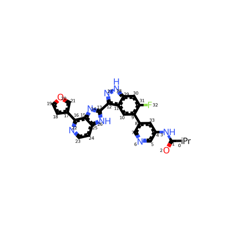 CC(C)C(=O)Nc1cncc(-c2cc3c(-c4nc5c(-c6ccoc6)nccc5[nH]4)n[nH]c3cc2F)c1